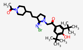 CC(=O)N1CCC(CCC2CCN(CC(=O)c3cc(C(C)(C)C)c(O)c(C(C)(C)C)c3)/C2=N\Br)CC1